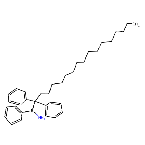 CCCCCCCCCCCCCCCCC(B(N)c1ccccc1)(c1ccccc1)c1ccccc1